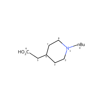 CCCCN1CCC(CC(=O)O)CC1